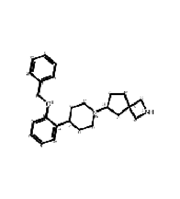 c1ccc(COc2ccccc2C2CCN(C3CCC4(CNC4)C3)CC2)cc1